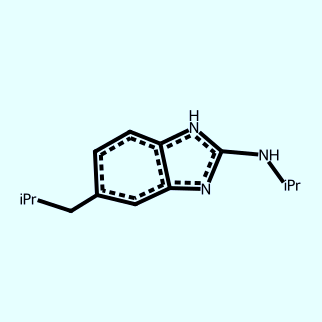 CC(C)Cc1ccc2[nH]c(NC(C)C)nc2c1